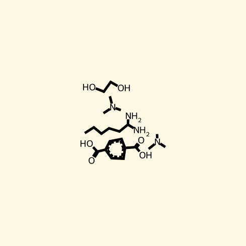 CCCCCC(N)N.CN(C)C.CN(C)C.O=C(O)c1ccc(C(=O)O)cc1.OCCO